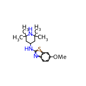 COc1ccc2nc(NC3CC(C)(C)NC(C)(C)C3)sc2c1